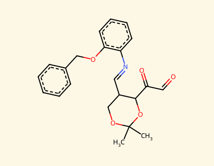 CC1(C)OCC(C=Nc2ccccc2OCc2ccccc2)C(C(=O)C=O)O1